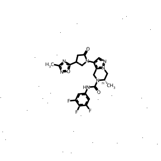 Cc1noc(C2CC(=O)N(c3cnn4c3CN(C(=O)Nc3cc(F)c(F)c(F)c3)[C@@H](C)C4)C2)n1